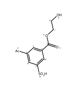 CC(=O)c1cc(C(=O)OCCO)cc(S(=O)(=O)O)c1